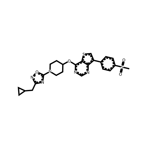 CS(=O)(=O)c1ccc(-c2csc3c(OC4CCN(c5nc(CC6CC6)no5)CC4)ncnc23)cc1